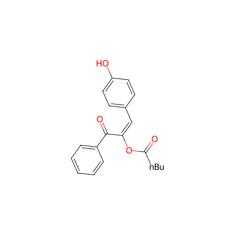 CCCCC(=O)O/C(=C/c1ccc(O)cc1)C(=O)c1ccccc1